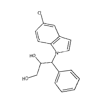 OCC(O)C(c1ccccc1)n1ccc2cc(Cl)ccc21